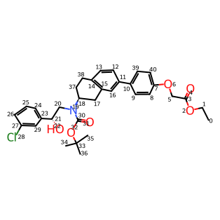 CCOC(=O)COc1ccc(-c2ccc3c(c2)C[C@@H](N(C[C@H](O)c2cccc(Cl)c2)C(=O)OC(C)(C)C)CC3)cc1